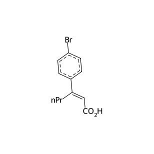 CCCC(=CC(=O)O)c1ccc(Br)cc1